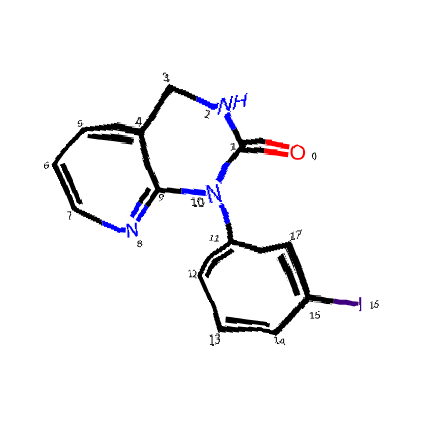 O=C1NCc2cccnc2N1c1cccc(I)c1